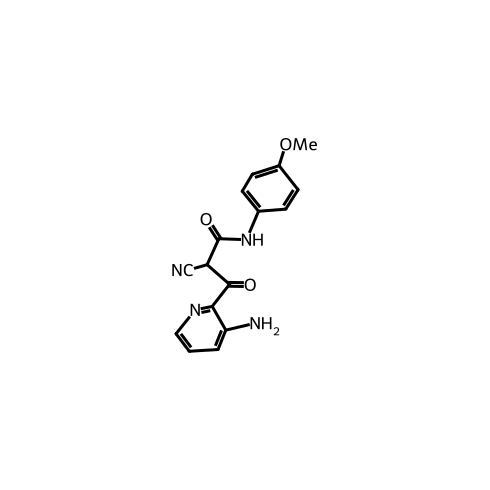 COc1ccc(NC(=O)C(C#N)C(=O)c2ncccc2N)cc1